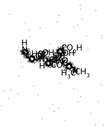 CN(C)Cc1ccc(CC(=O)N[C@@H](Cc2cccc(C(=O)O)c2O)B(O)OOc2c(C[C@H](NC(=O)Cc3ccc(CN4CCNCC4)cc3)B(O)O)cccc2C(=O)O)cc1